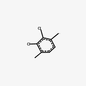 [CH2]c1ccc(C)c(Cl)c1Cl